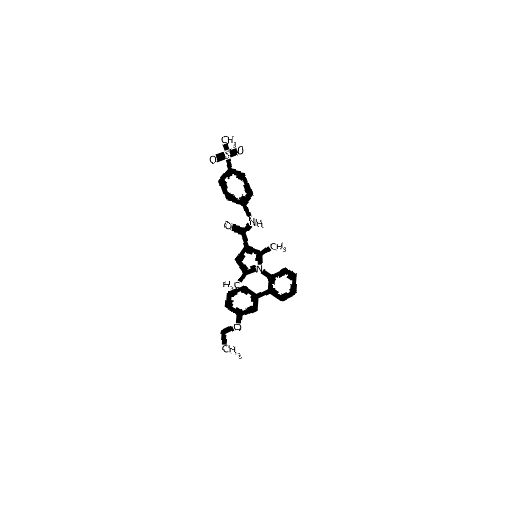 CCOc1cccc(-c2ccccc2-n2c(C)cc(C(=O)Nc3ccc(S(C)(=O)=O)cc3)c2C)c1